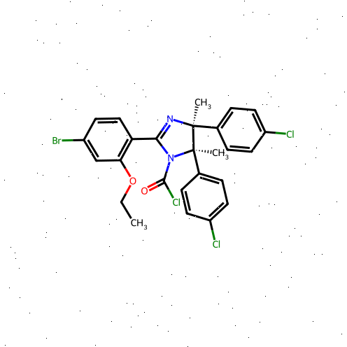 CCOc1cc(Br)ccc1C1=N[C@@](C)(c2ccc(Cl)cc2)[C@@](C)(c2ccc(Cl)cc2)N1C(=O)Cl